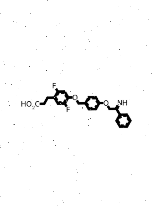 N=C(COc1ccc(COc2cc(F)c(CCC(=O)O)cc2F)cc1)c1ccccc1